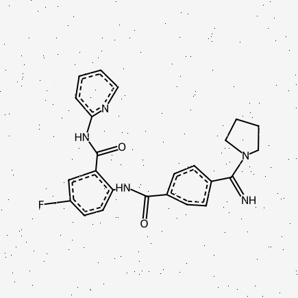 N=C(c1ccc(C(=O)Nc2ccc(F)cc2C(=O)Nc2ccccn2)cc1)N1CCCC1